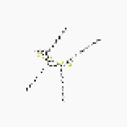 CCCCCCCCCCCCCCc1cc(-c2cc(CCCCCCCCCCCCCC)c(-c3cc4cc(CCCCCCCCCCCCCC)c5c(sc6c5sc5c7sc(C)cc7cc(CCCCCCCCCCCCCC)c56)c4s3)s2)sc1C